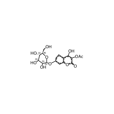 CC(=O)Oc1c(O)c2ccc(O[C@@H]3O[C@H](CO)[C@@H](O)[C@H](O)[C@@H]3O)cc2oc1=O